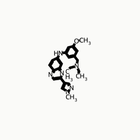 CCN(CC)Cc1cc(Nc2ccc3ncc(-c4cnn(C)c4)nc3c2)cc(OC)c1